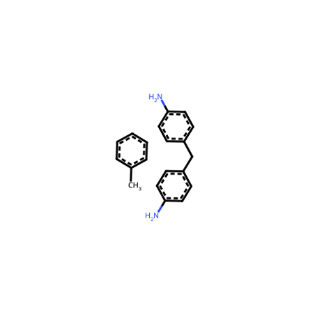 Cc1ccccc1.Nc1ccc(Cc2ccc(N)cc2)cc1